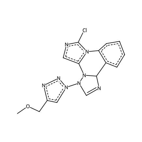 COCc1cn(N2C=NC3c4ccccc4-n4c(cnc4Cl)N32)nn1